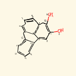 Oc1cc2c3c(cccc3c1O)-c1ccccc1-2